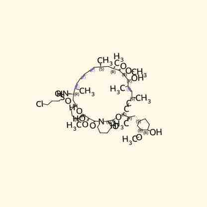 CO[C@@H]1C[C@H](C[C@@H](C)[C@@H]2CC[C@H](C)/C=C(\C)[C@@H](O)[C@@H](OC)C(=O)[C@H](C)C[C@H](C)/C=C/C=C/C=C(\C)[C@H](NS(=O)(=O)CCCCl)C[C@@H]3CC[C@@H](C)[C@@](O)(O3)C(=O)C(=O)N3CCCC[C@H]3C(=O)O2)CC[C@H]1O